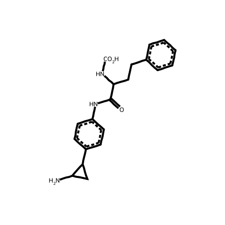 NC1CC1c1ccc(NC(=O)C(CCc2ccccc2)NC(=O)O)cc1